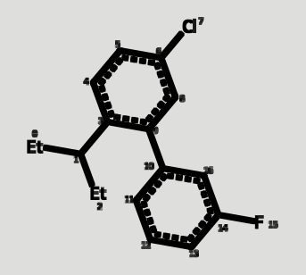 CCC(CC)c1ccc(Cl)cc1-c1cccc(F)c1